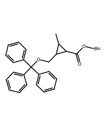 CC1C(COC(c2ccccc2)(c2ccccc2)c2ccccc2)C1C(=O)OC(C)(C)C